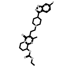 CCOC(=O)OC1CCCn2c1nc(C)c(CCN1CCC(c3noc4cc(F)ccc34)CC1)c2=O